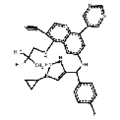 CC(C)(C)CNc1c(C#N)cnc2c(-c3cncnc3)cc(NC(C3=CN(C4CC4)NN3)c3ccc(F)cc3)cc12